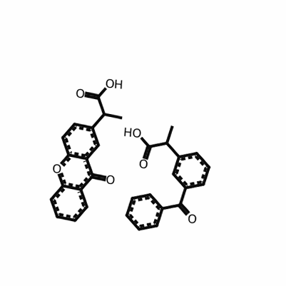 CC(C(=O)O)c1ccc2oc3ccccc3c(=O)c2c1.CC(C(=O)O)c1cccc(C(=O)c2ccccc2)c1